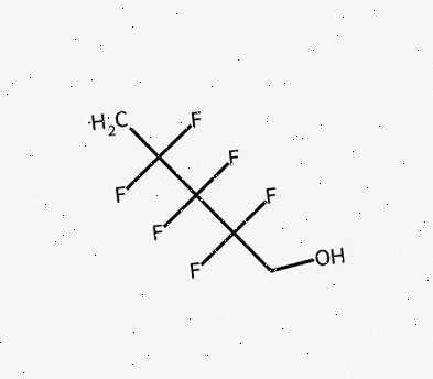 [CH2]C(F)(F)C(F)(F)C(F)(F)CO